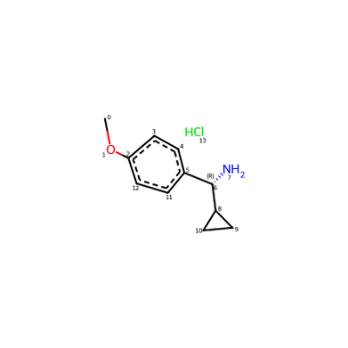 COc1ccc([C@H](N)C2CC2)cc1.Cl